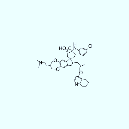 C[C@@H](COc1ccnc2c1[C@H](C)CCC2)C[C@H]1Cc2cc3c(cc2C12CCC(Nc1cccc(Cl)c1)(C(=O)O)CC2)OCC(CCN(C)C)CO3